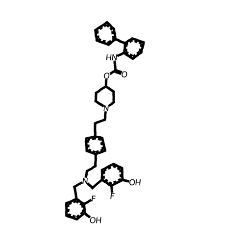 O=C(Nc1ccccc1-c1ccccc1)OC1CCN(CCc2ccc(CCN(Cc3cccc(O)c3F)Cc3cccc(O)c3F)cc2)CC1